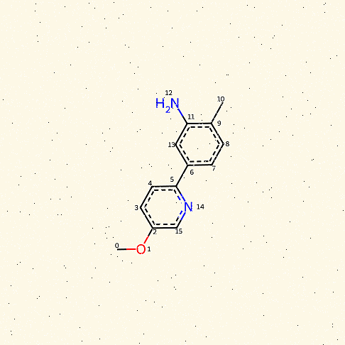 COc1ccc(-c2ccc(C)c(N)c2)nc1